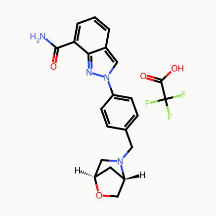 NC(=O)c1cccc2cn(-c3ccc(CN4C[C@H]5C[C@H]4CO5)cc3)nc12.O=C(O)C(F)(F)F